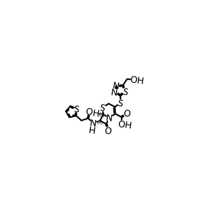 O=C(Cc1cccs1)N[C@@H]1C(=O)N2C(C(=O)O)=C(Sc3nnc(CO)s3)CS[C@@H]12